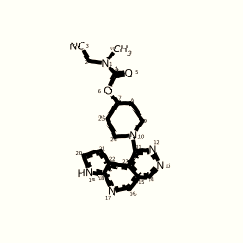 CN(CC#N)C(=O)OC1CCN(c2nncc3cnc4[nH]ccc4c23)CC1